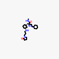 CNC(=O)[C@@](N)(CCC1CCCCC1)C[C@H]1CCC[C@@H](NCCCN2CCCC2=O)C1